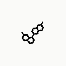 Cc1ccc2[c]c(-c3cccc4ccc(C)cc34)ccc2c1